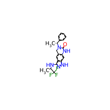 CC(Nc1n[nH]c2cc3c(cc12)CN([C@H](C)c1ccccc1)C(=O)N3)C(F)(F)F